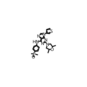 CC1CN(c2nc(Nc3ccc(P(C)(C)=O)cc3)c3ncn(-c4ccsc4)c3n2)CC(C)O1